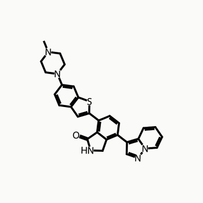 CN1CCN(c2ccc3cc(-c4ccc(-c5cnn6ccccc56)c5c4C(=O)NC5)sc3c2)CC1